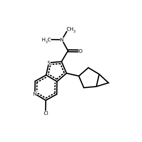 CN(C)C(=O)c1sc2cnc(Cl)cc2c1C1CC2CC2C1